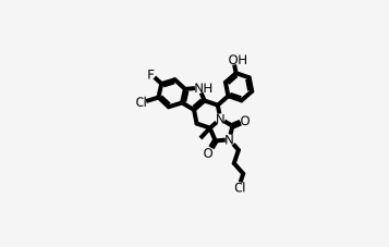 CC12Cc3c([nH]c4cc(F)c(Cl)cc34)C(c3cccc(O)c3)N1C(=O)N(CCCCl)C2=O